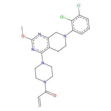 C=CC(=O)N1CCN(c2nc(OC)nc3c2CCN(c2cccc(Cl)c2Cl)C3)CC1